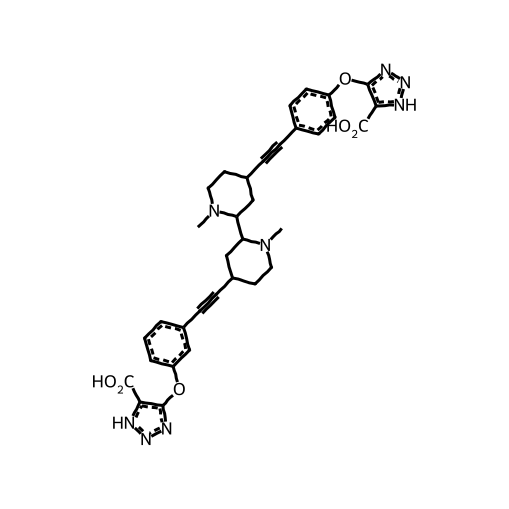 CN1CCC(C#Cc2ccc(Oc3nn[nH]c3C(=O)O)cc2)CC1C1CC(C#Cc2cccc(Oc3nn[nH]c3C(=O)O)c2)CCN1C